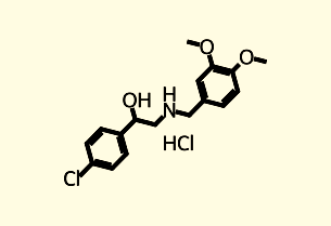 COc1ccc(CNCC(O)c2ccc(Cl)cc2)cc1OC.Cl